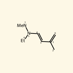 C=C(C)/C=C/N(CC)NC